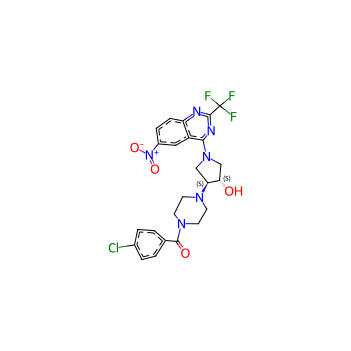 O=C(c1ccc(Cl)cc1)N1CCN([C@H]2CN(c3nc(C(F)(F)F)nc4ccc([N+](=O)[O-])cc34)C[C@@H]2O)CC1